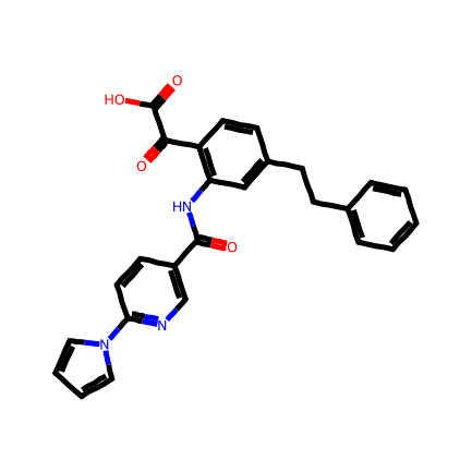 O=C(O)C(=O)c1ccc(CCc2ccccc2)cc1NC(=O)c1ccc(-n2cccc2)nc1